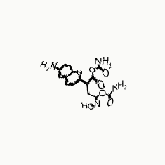 NC(=O)OC(=O)C(C/C(=N\O)OC(N)=O)c1ccc2cc(N)ccc2n1